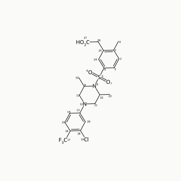 Cc1ccc(S(=O)(=O)N2C(C)CN(c3ccc(C(F)(F)F)c(Cl)c3)CC2C)cc1CC(=O)O